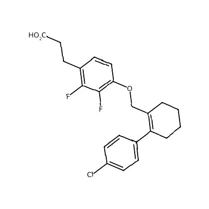 O=C(O)CCc1ccc(OCC2=C(c3ccc(Cl)cc3)CCCC2)c(F)c1F